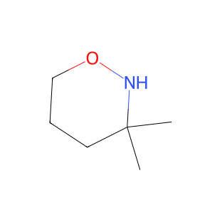 CC1(C)CCCON1